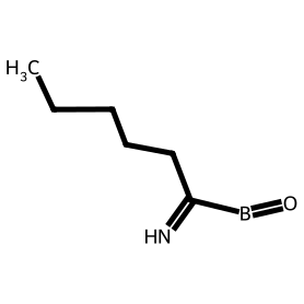 CCCCCC(=N)B=O